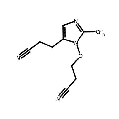 Cc1ncc(CCC#N)n1OCCC#N